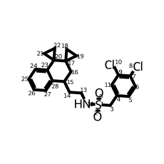 O=S(=O)(Cc1ccc(Cl)c(Cl)c1)NCCC1CC2(CC2)C2(CC2)c2ccccc21